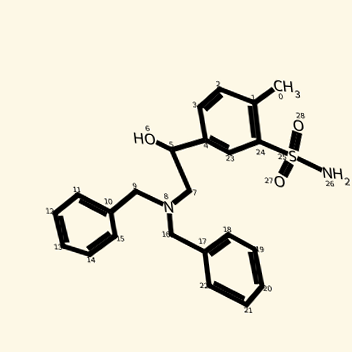 Cc1ccc(C(O)CN(Cc2ccccc2)Cc2ccccc2)cc1S(N)(=O)=O